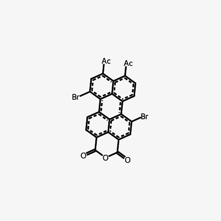 CC(=O)c1ccc2c3c(Br)cc4c5c(ccc(c6c(Br)cc(C(C)=O)c1c26)c53)C(=O)OC4=O